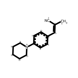 C/C(C#N)=C/c1ccc(N2CCCCC2)cc1